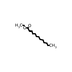 CCCCCCCCCCC=CC(=O)OCC